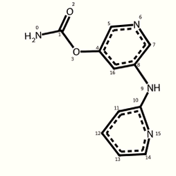 NC(=O)Oc1cncc(Nc2ccccn2)c1